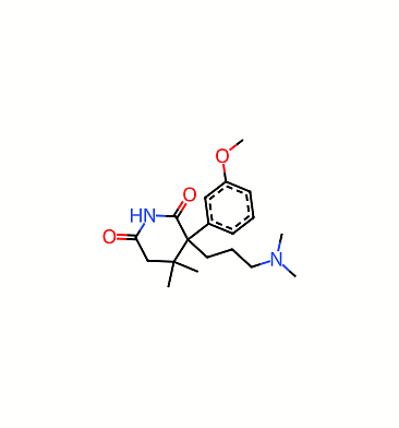 COc1cccc(C2(CCCN(C)C)C(=O)NC(=O)CC2(C)C)c1